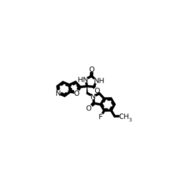 CCc1ccc2c(c1F)C(=O)N(C[C@@]1(c3cc4ccncc4o3)NC(=O)NC1=O)C2